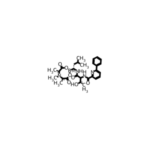 CC(C)C[C@H](NC(=O)C(NC(=O)c1cccc(-c2ccccc2)n1)[C@@H](C)O)B1OC(=O)[C@@H](C)N(C)[C@@H](C)C(=O)O1